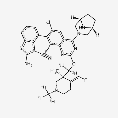 [2H]C([2H])([2H])N1CC/C(=C\F)[C@](C)(C([2H])([2H])Oc2nc(N3C[C@H]4CC[C@@H](C3)N4)c3cc(Cl)c(-c4cccc5sc(N)c(C#N)c45)c(F)c3n2)C1